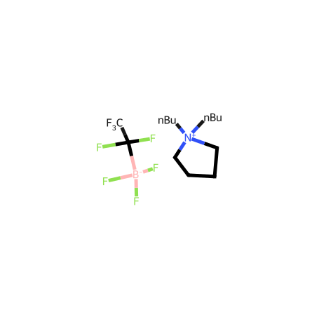 CCCC[N+]1(CCCC)CCCC1.F[B-](F)(F)C(F)(F)C(F)(F)F